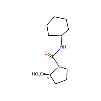 O=C(O)[C@@H]1CCCN1C(=O)NC1CCCCC1